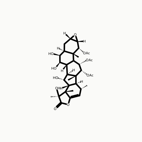 CC(=O)O[C@H]1C2[C@@H]([C@@H](O)[C@@H](O)[C@H]3C[C@@H]4O[C@@H]4[C@H](OC(C)=O)[C@]23C)[C@@H]2[C@@H](O)[C@@H]3[C@H]([C@H](C)C=C4OC(=O)[C@@](C)(O)[C@@]43C)[C@@]2(C)[C@H]1OC(C)=O